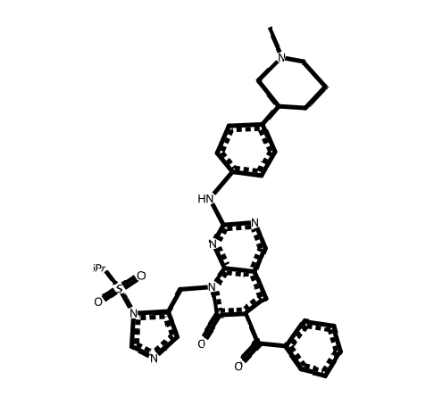 CC(C)S(=O)(=O)n1cncc1Cn1c(=O)c(C(=O)c2ccccc2)cc2cnc(Nc3ccc(C4CCCN(C)C4)cc3)nc21